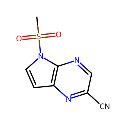 CS(=O)(=O)n1ccc2nc(C#N)cnc21